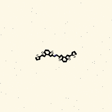 C(=C\c1cc2c(ccc3sc(-c4cccs4)cc32)s1)/c1cc2c(ccc3sc(-c4cccs4)cc32)s1